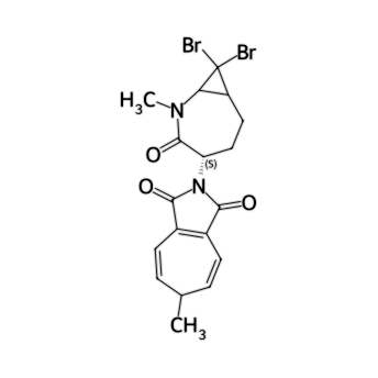 CC1C=CC2=C(C=C1)C(=O)N([C@H]1CCC3C(N(C)C1=O)C3(Br)Br)C2=O